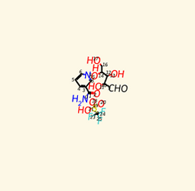 NC(=O)c1cccnc1.O=CC(O)C(O)C(O)CO.O=S(=O)(O)C(F)(F)F